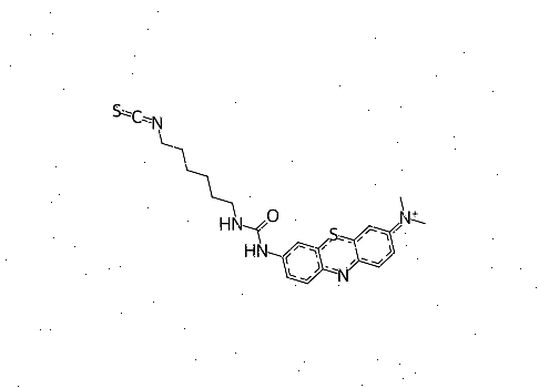 C[N+](C)=c1ccc2nc3ccc(NC(=O)NCCCCCCN=C=S)cc3sc-2c1